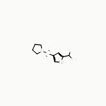 CCC(O)c1cc(S(=O)(=O)N2CCCC2)c[nH]1